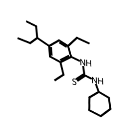 CCc1cc(C(CC)CC)cc(CC)c1NC(=S)NC1CCCCC1